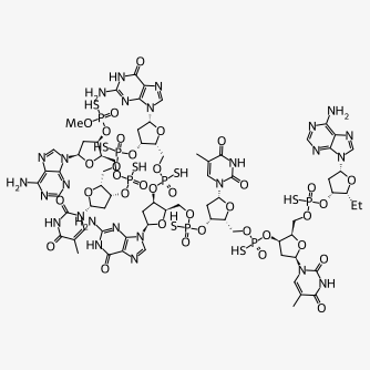 CC[C@H]1O[C@@H](n2cnc3c(N)ncnc32)C[C@H]1OP(=O)(S)OC[C@H]1O[C@@H](n2cc(C)c(=O)[nH]c2=O)C[C@H]1OP(=O)(S)OC[C@H]1O[C@@H](n2cc(C)c(=O)[nH]c2=O)C[C@H]1OP(=O)(S)OC[C@H]1O[C@@H](n2cnc3c(=O)[nH]c(N)nc32)C[C@H]1OP(=O)(S)OC[C@H]1O[C@@H](n2cnc3c(=O)[nH]c(N)nc32)C[C@H]1OP(=O)(S)OC[C@H]1O[C@@H](n2cc(C)c(=O)[nH]c2=O)C[C@H]1OP(=O)(S)OC[C@H]1O[C@@H](n2cnc3c(N)ncnc32)C[C@H]1OP(=O)(S)OC